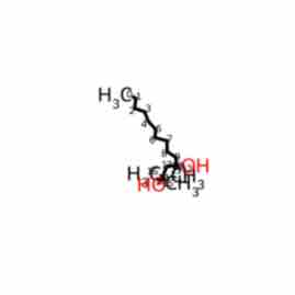 CCCCCCCCCCC(C)(O)CC(C)(C)O